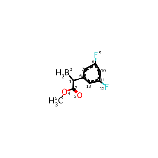 BC(C(=O)OC)c1cc(F)cc(F)c1